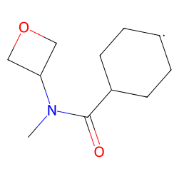 CN(C(=O)C1CC[CH]CC1)C1COC1